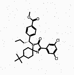 CCC[C@H](c1ccc(C(=O)OC)cc1)N1C(=O)C(c2cc(Cl)cc(Cl)c2)=NC12CCC(C(C)(C)C)CC2